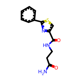 NC(=O)CCNC(=O)c1csc(-c2ccccc2)n1